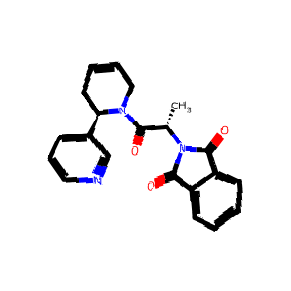 C[C@@H](C(=O)N1CC=CC[C@@H]1c1cccnc1)N1C(=O)c2ccccc2C1=O